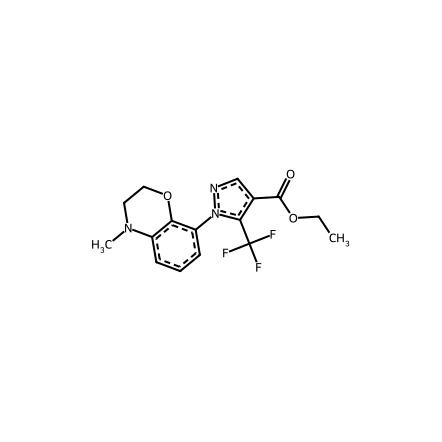 CCOC(=O)c1cnn(-c2cccc3c2OCCN3C)c1C(F)(F)F